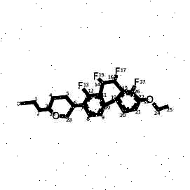 CCCC1CCC(c2ccc3c(c2F)C(F)C(F)c2c-3ccc(OCC)c2F)CO1